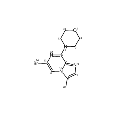 Cc1cnc2c(N3CCOCC3)nc(Br)cn12